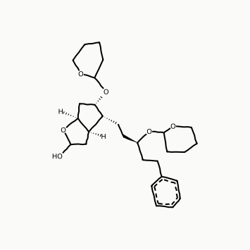 OC1C[C@@H]2[C@@H](CC[C@H](CCc3ccccc3)OC3CCCCO3)[C@@H](OC3CCCCO3)C[C@@H]2O1